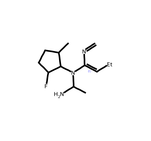 C=N/C(=C\CC)N(C(C)N)C1C(C)CCC1F